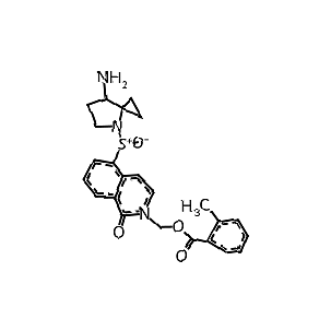 Cc1ccccc1C(=O)OCn1ccc2c([S+]([O-])N3CCC(N)C34CC4)cccc2c1=O